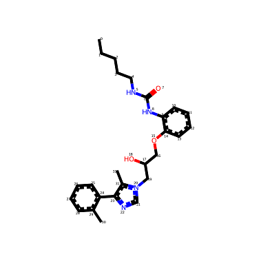 CCCCCNC(=O)Nc1ccccc1OCC(O)Cn1cnc(-c2ccccc2C)c1C